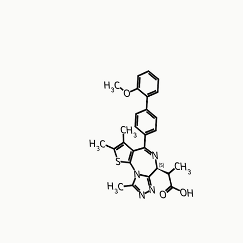 COc1ccccc1-c1ccc(C2=N[C@@H](C(C)C(=O)O)c3nnc(C)n3-c3sc(C)c(C)c32)cc1